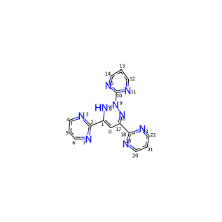 C1=C(c2ncccn2)NN(c2ncccn2)N=C1c1ncccn1